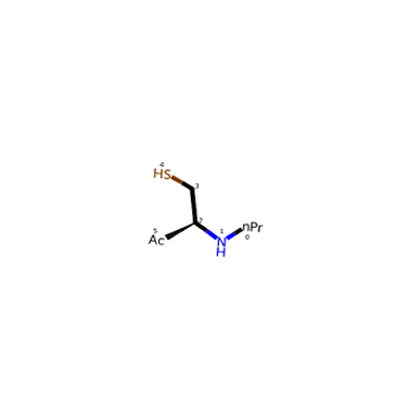 CCCN[C@H](CS)C(C)=O